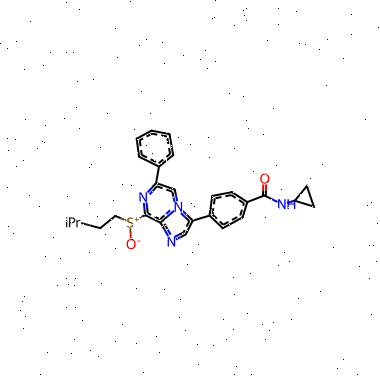 CC(C)CC[S+]([O-])c1nc(-c2ccccc2)cn2c(-c3ccc(C(=O)NC4CC4)cc3)cnc12